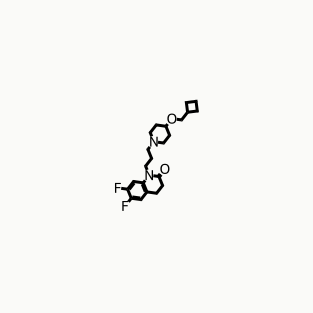 O=C1CCc2cc(F)c(F)cc2N1CCCN1CCC(OCC2CCC2)CC1